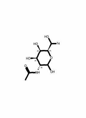 [2H]C(O)[C@H]1OC(O)[C@H](NC(C)=O)[C@@H](O)[C@H]1O